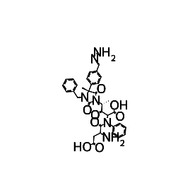 C[C@H](C(=O)[C@@H](C(=O)O)N(C(=O)[C@@H](N)CC(=O)O)c1ccccc1)N1C(=O)N(Cc2ccccc2)[C@](C)(c2ccc(C=NN)cc2)C1=O